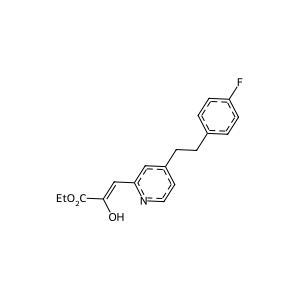 CCOC(=O)/C(O)=C/c1cc(CCc2ccc(F)cc2)ccn1